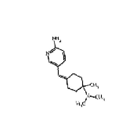 CN(C)C1(C)CCC(=Cc2ccc(N)nc2)CC1